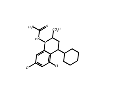 NC(=O)NN1c2cc(Cl)cc(Cl)c2C(C2CCCCC2)CC1C(=O)O